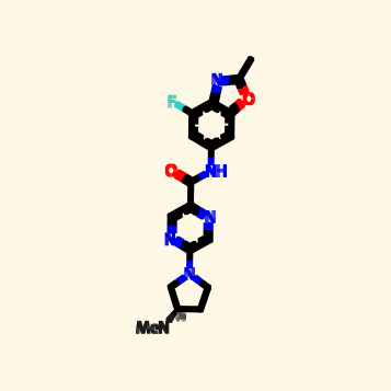 CN[C@@H]1CCN(c2cnc(C(=O)Nc3cc(F)c4nc(C)oc4c3)cn2)C1